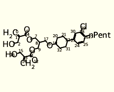 C=C(CO)C(=O)OCC(COC(=O)C(=C)CO)COC1CCC(c2ccc(CCCCC)c(Cl)c2)CC1